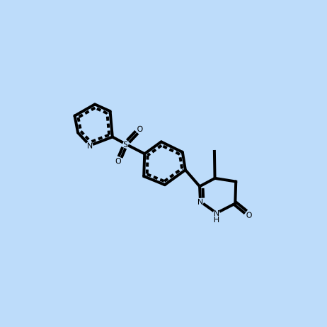 CC1CC(=O)NN=C1c1ccc(S(=O)(=O)c2ccccn2)cc1